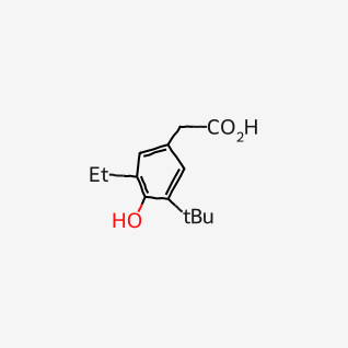 CCc1cc(CC(=O)O)cc(C(C)(C)C)c1O